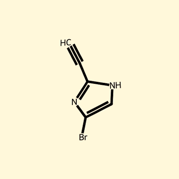 C#Cc1nc(Br)c[nH]1